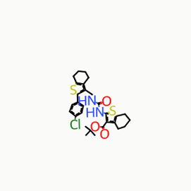 CC(C)(C)OC(=O)c1c(NC(=O)NCc2c(-c3ccc(Cl)cc3)sc3c2CCCC3)sc2c1CCCC2